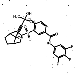 CC(C)(O)C#CC1(O)C2CCC1CC(S(=O)(=O)c1cc(C(=O)Nc3cc(F)c(F)c(F)c3)ccc1Cl)C2